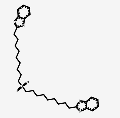 O=S(=O)(CCCCCCCCCc1nc2ccccc2s1)CCCCCCCCCc1nc2ccccc2s1